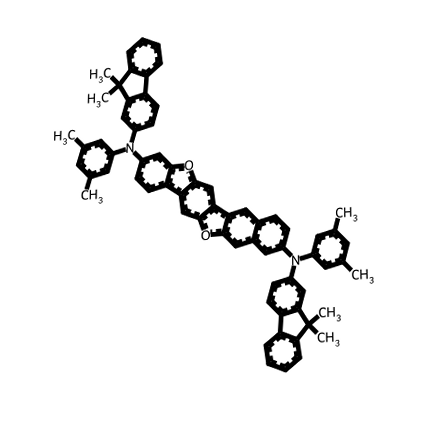 Cc1cc(C)cc(N(c2ccc3c(c2)C(C)(C)c2ccccc2-3)c2ccc3cc4c(cc3c2)oc2cc3c(cc24)oc2cc(N(c4cc(C)cc(C)c4)c4ccc5c(c4)C(C)(C)c4ccccc4-5)ccc23)c1